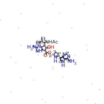 CCC(CC)C(NC(C)=O)C1[C@H](NC(=N)N)C[C@H](C(=O)OC[C@@H]2CC[C@H](c3c[nH]c4c(N)ncnc34)N2)[C@H]1O